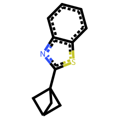 c1ccc2sc(C34CC(C3)C4)nc2c1